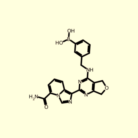 NC(=O)c1cccc2c(-c3nc4c(c(NCc5cccc(B(O)O)c5)n3)COC4)ncn12